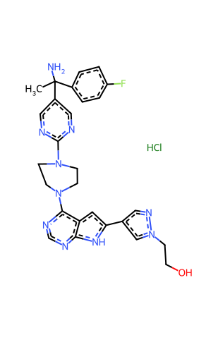 CC(N)(c1ccc(F)cc1)c1cnc(N2CCN(c3ncnc4[nH]c(-c5cnn(CCO)c5)cc34)CC2)nc1.Cl